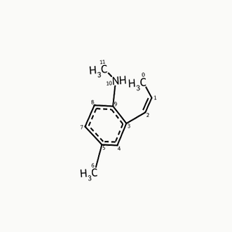 C/C=C\c1cc(C)ccc1NC